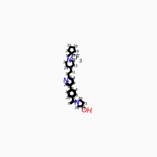 C=C(c1ccc(-c2ccc(CCC3CCN(CC4(C(F)(F)F)CCCC4)CC3)nc2)cc1)N1CCC(O)C1